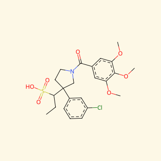 CCC(C1(c2cccc(Cl)c2)CCN(C(=O)c2cc(OC)c(OC)c(OC)c2)C1)S(=O)(=O)O